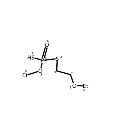 CCOCCSP(=O)(S)OCC